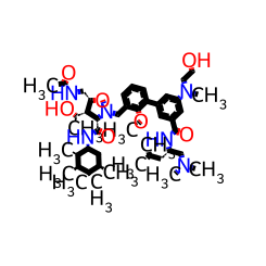 COc1c(CN2O[C@@H](CNC(C)=O)[C@@H]([C@H](C)O)[C@H]2C(=O)N[C@H]2C[C@@H](C)C(C)(C)[C@@H](C)[C@@H]2C)cccc1-c1cc(C(=O)N[C@@H](CC(C)C)CN(C)C)cc(N(C)CCO)c1